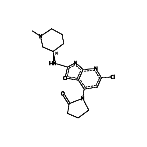 CN1CCC[C@@H](Nc2nc3nc(Cl)cc(N4CCCC4=O)c3o2)C1